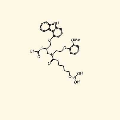 CCC(=O)OC(COc1cccc2[nH]c3ccccc3c12)CN(CCOc1ccccc1OC)C(=O)CCCCCON(O)O